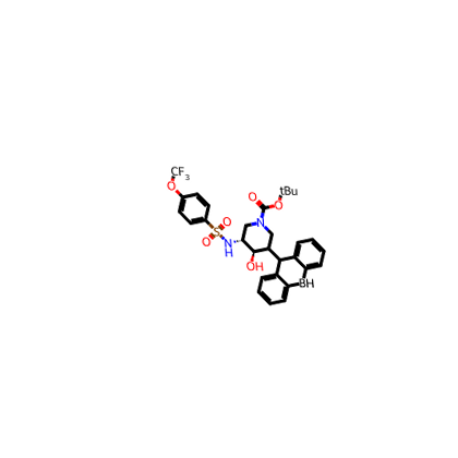 CC(C)(C)OC(=O)N1CC(C2c3ccccc3Bc3ccccc32)[C@@H](O)[C@H](NS(=O)(=O)c2ccc(OC(F)(F)F)cc2)C1